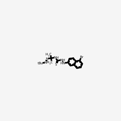 CC(C)(C)N=NC(C)(C)NC(=S)NNc1ccc2c(Br)cccc2c1